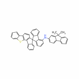 CC1(C)c2ccccc2-c2ccc(Nc3cccc4c3-c3ccccc3C43c4ccccc4-c4c3ccc3c4sc4ccccc43)cc21